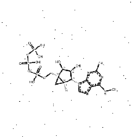 CNc1nc(C)nc2c1ncn2[C@H]1[C@H](O)[C@H](O)[C@]2(COP(=O)(O)OP(=O)(O)OP(=O)(O)O)C[C@H]12